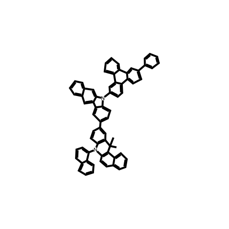 CC1(C)c2cc(-c3ccc4c(c3)c3cc5ccccc5cc3n4-c3ccc4c5ccc(-c6ccccc6)cc5c5ccccc5c4c3)ccc2N(c2cccc3ccccc23)c2ccc3ccccc3c21